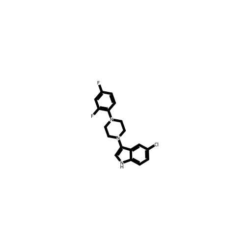 Fc1ccc(N2CCN(c3[c][nH]c4ccc(Cl)cc34)CC2)c(F)c1